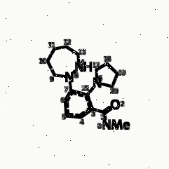 CNC(=O)c1cccc(N2CCCCCN2)c1N1CCCC1